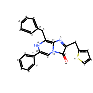 O=c1c(Cc2cccs2)nc2c(Cc3ccccc3)[nH]c(-c3ccccc3)cn1-2